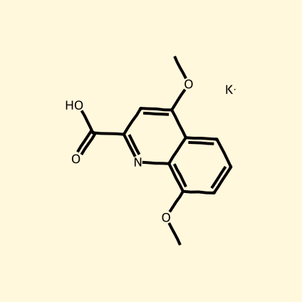 COc1cc(C(=O)O)nc2c(OC)cccc12.[K]